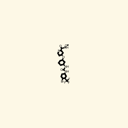 CONC(=O)c1cc(Oc2cccc(NC(=O)Nc3ccc(Br)c(C(F)(F)F)c3)c2)ccn1